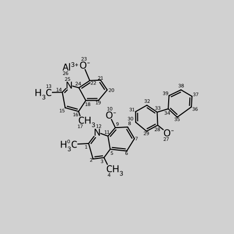 Cc1cc(C)c2cccc([O-])c2n1.Cc1cc(C)c2cccc([O-])c2n1.[Al+3].[O-]c1ccccc1-c1ccccc1